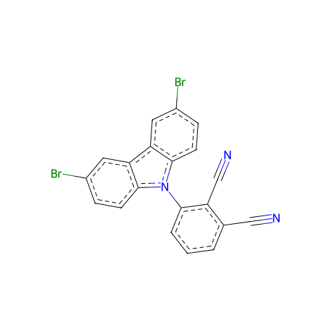 N#Cc1cccc(-n2c3ccc(Br)cc3c3cc(Br)ccc32)c1C#N